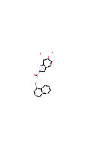 COc1cc2cc(C(=O)N[C@H](C)c3cccc4ccccc34)[nH]c2c(OC)c1OC